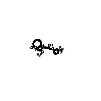 O=C1CCC/C=C\C[C@@H]2[C@@H](/C=C/[C@@H](O)COc3cccc(C(F)(F)F)c3)[C@H](OP)C[C@@H]2O1